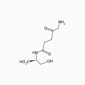 NCC(=O)CCC(=O)N[C@@H](CO)C(=O)O